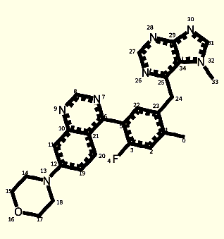 Cc1cc(F)c(-c2ncnc3cc(N4CCOCC4)ccc23)cc1Cc1ncnc2ncn(C)c12